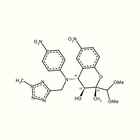 COC(OC)[C@@]1(C)Oc2ccc([N+](=O)[O-])cc2[C@@H](N(Cc2nnn(C)n2)c2ccc([N+](=O)[O-])cc2)[C@@H]1O